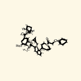 COc1cc(C(=O)N2C[C@H]3CC[C@@H]2[C@@H]3N)cc2nc(-c3cc4cccc(C5CCN(C(=O)COc6ccccc6)CC5)c4n3CC3CC3)n(C)c12